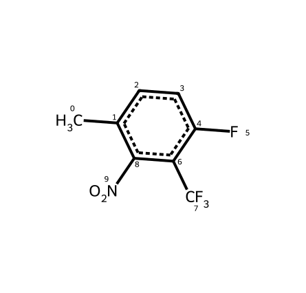 Cc1ccc(F)c(C(F)(F)F)c1[N+](=O)[O-]